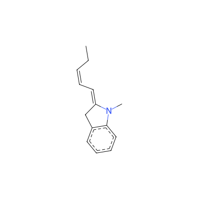 CC/C=C\C=C1/Cc2ccccc2N1C